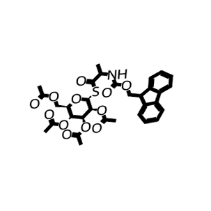 CC(=O)OC[C@H]1O[C@H](SC(=O)C(C)NC(=O)OCC2c3ccccc3-c3ccccc32)[C@@H](OC(C)=O)[C@@H](OC(C)=O)[C@@H]1OC(C)=O